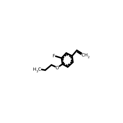 C=Cc1ccc(OCCC)c(F)c1